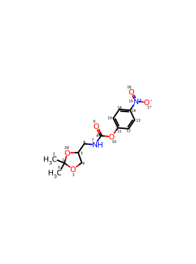 CC1(C)OCC(CNC(=O)Oc2ccc([N+](=O)[O-])cc2)O1